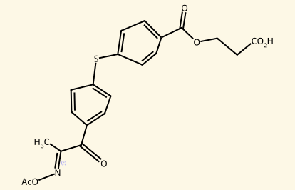 CC(=O)O/N=C(\C)C(=O)c1ccc(Sc2ccc(C(=O)OCCC(=O)O)cc2)cc1